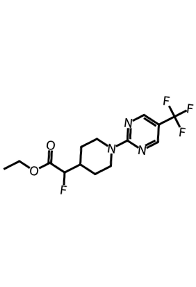 CCOC(=O)C(F)C1CCN(c2ncc(C(F)(F)F)cn2)CC1